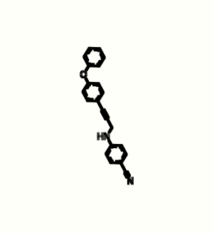 N#Cc1ccc(NCC#Cc2ccc(Oc3ccccc3)cc2)cc1